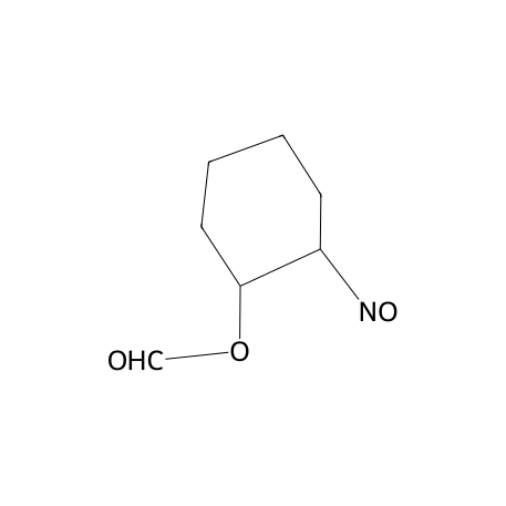 O=COC1CCCCC1N=O